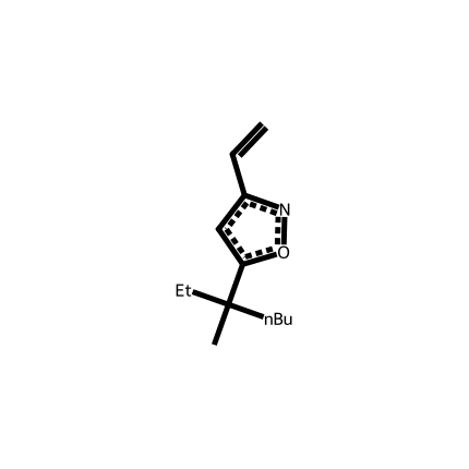 C=Cc1cc(C(C)(CC)CCCC)on1